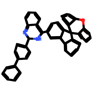 c1ccc(-c2ccc(C3N=c4ccccc4=C(c4ccc5c(c4)-c4ccccc4C54c5ccccc5Oc5ccccc54)N3)cc2)cc1